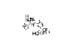 Cc1ccc([C@](O)(CO)C(F)(F)F)cc1-c1cnc(N)c(-c2ccns2)n1